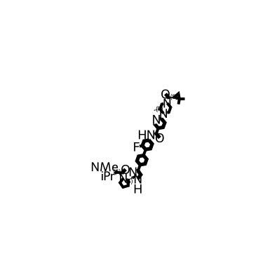 CN[C@H](C(=O)N1CCC[C@H]1c1nc(-c2ccc(-c3ccc(NC(=O)c4ccc(N5CCN(C(=O)[C@H]6CC6(C)C)C[C@H]5C)nc4)cc3F)cc2)c[nH]1)C(C)C